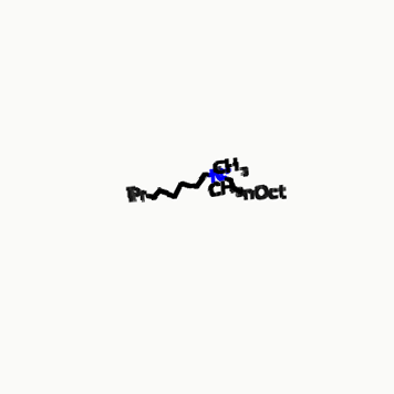 CCCCCCCCCC[N+](C)(C)CCCCCCC(C)C